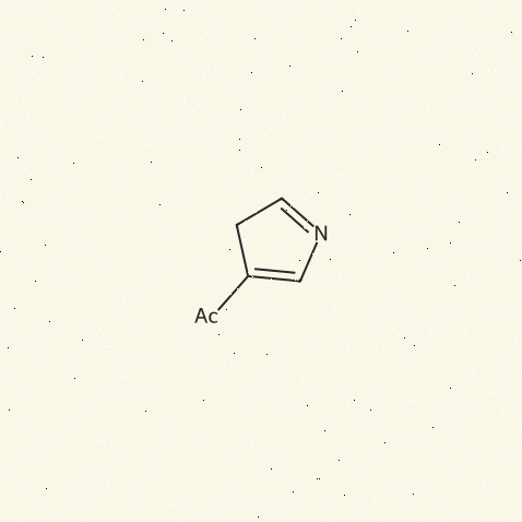 CC(=O)C1=CN=CC1